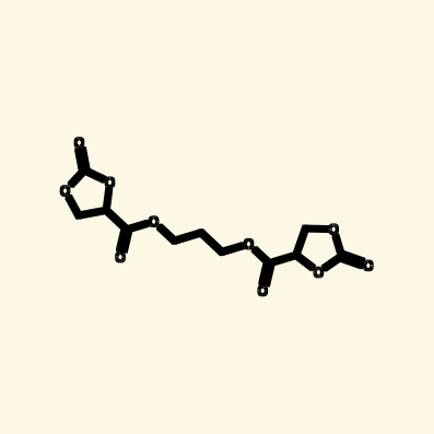 O=C1OCC(C(=O)OCCCOC(=O)C2COC(=O)O2)O1